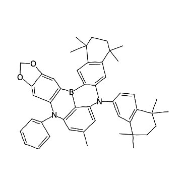 Cc1cc2c3c(c1)N(c1ccc4c(c1)C(C)(C)CCC4(C)C)c1cc4c(cc1B3c1cc3c(cc1N2c1ccccc1)OCO3)C(C)(C)CCC4(C)C